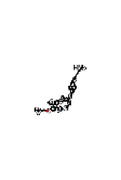 COC(=O)CCCCCOc1ccc2c(=C3SC=CS3)c3cc(OCc4cc(OC(C)CC=O)c(COCc5cc6ccc7cc(COCCCCCCNC(C)=O)cc8ccc(c5)c6c78)cc4OC)ccc3c(=C3SC=CS3)c2c1